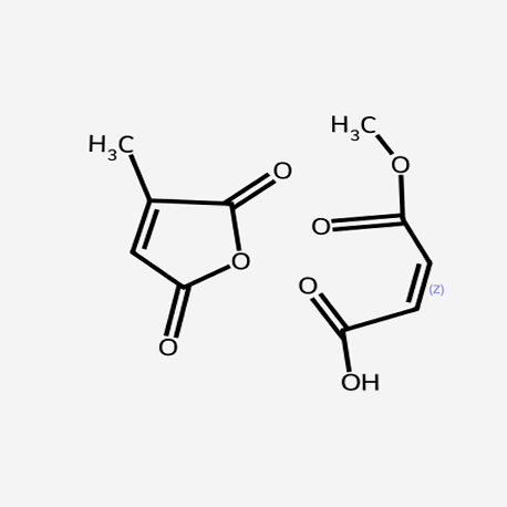 CC1=CC(=O)OC1=O.COC(=O)/C=C\C(=O)O